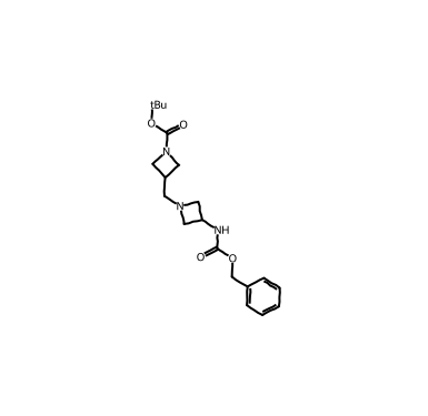 CC(C)(C)OC(=O)N1CC(CN2CC(NC(=O)OCc3ccccc3)C2)C1